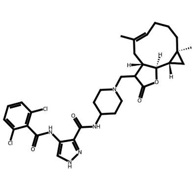 C/C1=C\CCC[C@@]2(C)C[C@@H]2[C@H]2OC(=O)C(CN3CCC(NC(=O)c4n[nH]cc4NC(=O)c4c(Cl)cccc4Cl)CC3)[C@@H]2C1